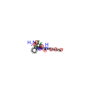 NS(=O)(=O)c1c(F)c(F)c(S(=O)(=O)CCC(=O)NCCOCCOCCC=O)c(NC2CCCCCCC2)c1F